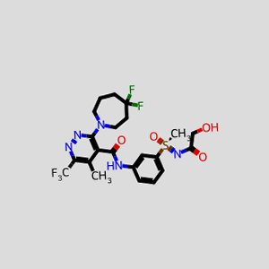 Cc1c(C(F)(F)F)nnc(N2CCCC(F)(F)CC2)c1C(=O)Nc1cccc([S@@](C)(=O)=NC(=O)CO)c1